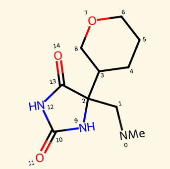 CNCC1(C2CCCOC2)NC(=O)NC1=O